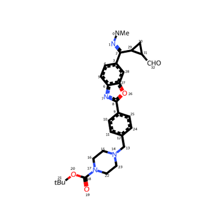 CN/N=C(/c1ccc2nc(-c3ccc(CN4CCN(C(=O)OC(C)(C)C)CC4)cc3)oc2c1)C1CC1C=O